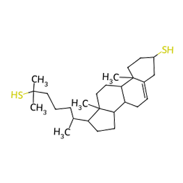 CC(CCCC(C)(C)S)C1CCC2C3CC=C4CC(S)CCC4(C)C3CCC12C